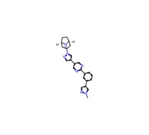 Cn1cc(-c2cccc(-c3ncc(-c4cnn(C5C[C@H]6CC[C@@H](C5)N6)c4)cn3)c2)cn1